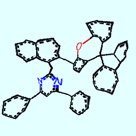 C1=CC2c3ccccc3C3(c4ccccc4Oc4c(-c5ccc6ccccc6c5-c5nc(-c6ccccc6)cc(-c6ccccc6)n5)cccc43)C2C=C1